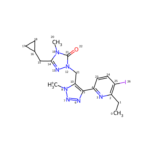 CCc1nc(-c2nnn(C)c2Cn2nc(CC3CC3)n(C)c2=O)ccc1I